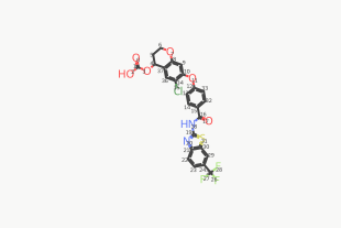 O=C(O)OC1CCOc2cc(Oc3ccc(C(=O)Nc4nc5ccc(C(F)(F)F)cc5s4)cc3)c(Cl)cc21